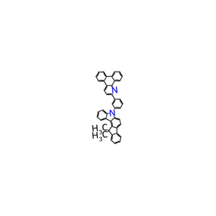 CC1(C)c2ccccc2-c2ccc3c(c21)c1ccccc1n3-c1cccc(-c2ccc3c4ccccc4c4ccccc4c3n2)c1